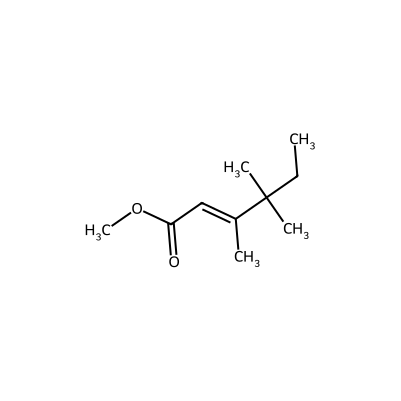 CCC(C)(C)/C(C)=C/C(=O)OC